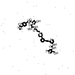 Cc1ncsc1-c1ccc(CNC(=O)[C@@H]2C[C@@H](O)CN2C(=O)C(NC(=O)CCCN2CCC(c3cccc(C#Cc4cc(NC(=O)Nc5cc(F)ncc5CO)ccn4)c3)CC2)C(C)(C)C)cc1